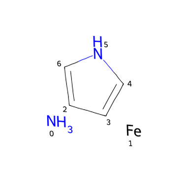 N.[Fe].c1cc[nH]c1